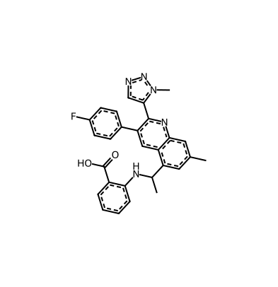 Cc1cc(C(C)Nc2ccccc2C(=O)O)c2cc(-c3ccc(F)cc3)c(-c3cnnn3C)nc2c1